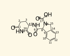 O=C1CCC(NC(=O)C2c3ccccc3CN2C(=O)O)C(=O)N1